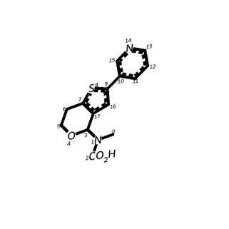 CN(C(=O)O)C1OCCc2sc(-c3cccnc3)cc21